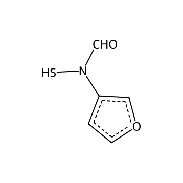 O=CN(S)c1ccoc1